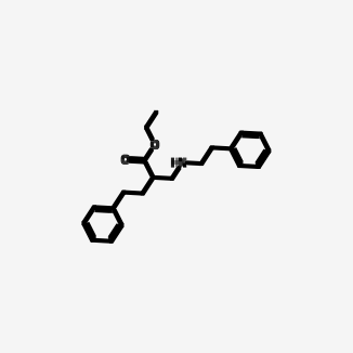 CCOC(=O)C(CCc1ccccc1)CNCCc1ccccc1